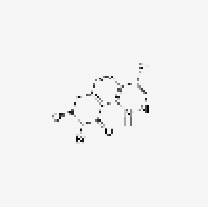 O=C1Cc2ccc3c(c2C(=O)C1Br)NNC=C3Br